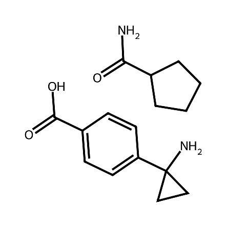 NC(=O)C1CCCC1.NC1(c2ccc(C(=O)O)cc2)CC1